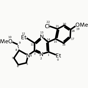 CCc1nc(N2CCC[C@@H]2COC)c(CC)nc1-c1ccc(OC)cc1Cl